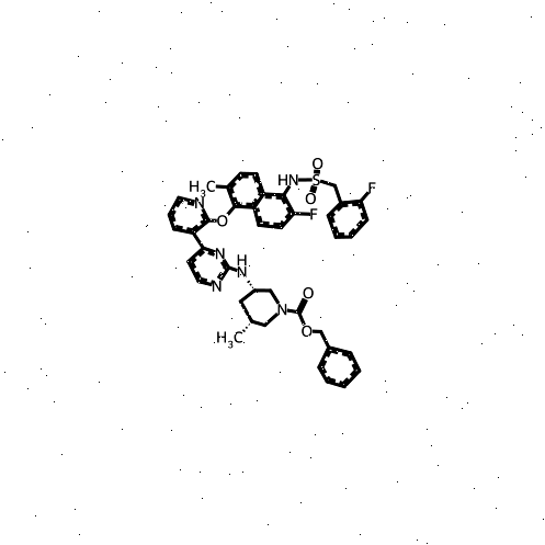 Cc1ccc2c(NS(=O)(=O)Cc3ccccc3F)c(F)ccc2c1Oc1ncccc1-c1ccnc(N[C@H]2C[C@@H](C)CN(C(=O)OCc3ccccc3)C2)n1